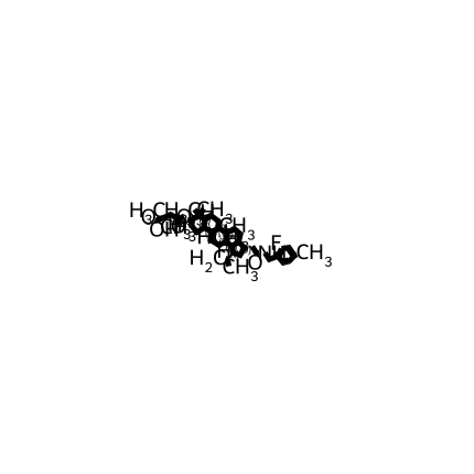 C=C(C)[C@@H]1C[C@@H](CC(=O)NCc2ccc(C)cc2F)C2CC[C@]3(C)[C@H](CC[C@@H]4[C@@]5(C)CC[C@H](OC(=O)CC(C)(C)C(=O)O)C(C)(C)[C@@H]5CC[C@]43C)[C@H]21